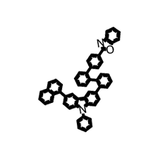 c1ccc(-n2c3ccc(-c4ccccc4-c4ccccc4-c4ccc(-c5nc6ccccc6o5)cc4)cc3c3cc(-c4cccc5ccccc45)ccc32)cc1